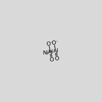 [Ni+2].[O]=[Al][O-].[O]=[Al][O-]